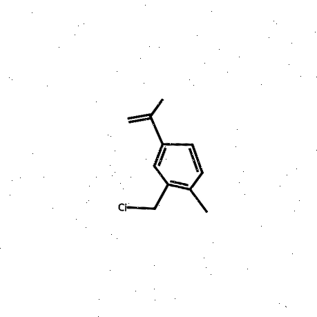 C=C(C)c1ccc(C)c(CCl)c1